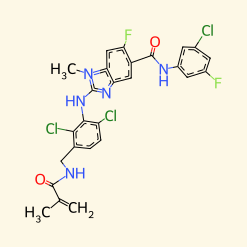 C=C(C)C(=O)NCc1ccc(Cl)c(Nc2nc3cc(C(=O)Nc4cc(F)cc(Cl)c4)c(F)cc3n2C)c1Cl